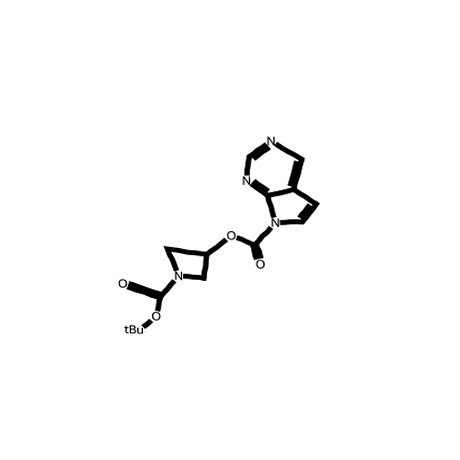 CC(C)(C)OC(=O)N1CC(OC(=O)n2ccc3cncnc32)C1